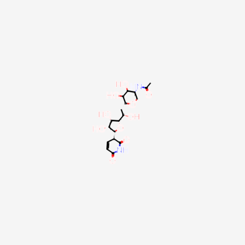 CC(=O)N[C@H]1CO[C@H](C[C@@H](O)[C@@H]2O[C@@H](C3C=CC(=O)NC3=O)[C@H](O)[C@@H]2O)C(O)C1O